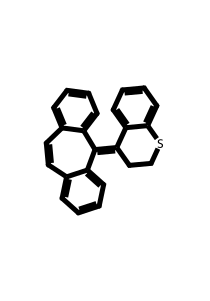 C1=Cc2ccccc2C(=C2CCSc3ccccc32)c2ccccc21